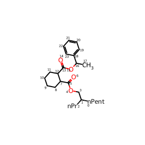 CCCCCC(CCC)COC(=O)C1CCCCC1C(=O)OC(C)c1ccccc1